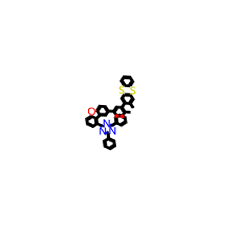 Cc1ccc(-c2ccc3oc4cccc(-c5nc(-c6ccccc6)nc(-c6ccccc6)n5)c4c3c2)cc1-c1cc2c(cc1C)Sc1ccccc1S2